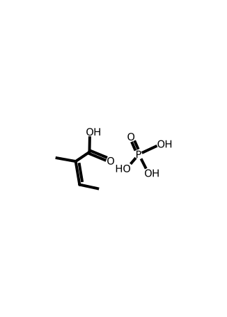 CC=C(C)C(=O)O.O=P(O)(O)O